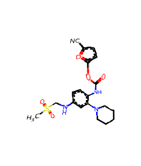 CS(=O)(=O)CNc1ccc(NC(=O)Oc2ccc(C#N)o2)c(N2CCCCC2)c1